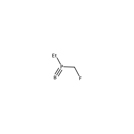 B#P(CC)CF